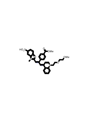 COCCOCCN1C=C/C(=C\C(=C\c2sc3ccc(S(=O)(=O)O)cc3[n+]2C)c2ccc(C(=O)OC)cc2)c2ccccc21